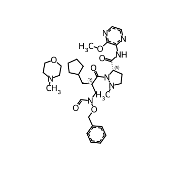 CN1CCOCC1.COc1nccnc1NC(=O)[C@@H]1CCN(C)N1C(=O)[C@H](CC1CCCC1)CN(C=O)OCc1ccccc1